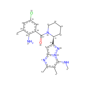 CNc1c(C)c(C)nc2cc([C@@H]3CCCCN3C(=O)c3cc(Cl)cc(C)c3N)nn12